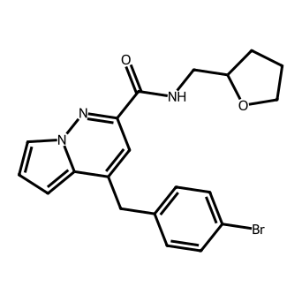 O=C(NCC1CCCO1)c1cc(Cc2ccc(Br)cc2)c2cccn2n1